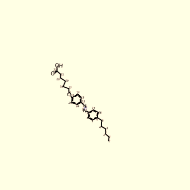 CCCCCCc1ccc(/N=N/c2ccc(OCCCCCC(=O)O)cc2)cc1